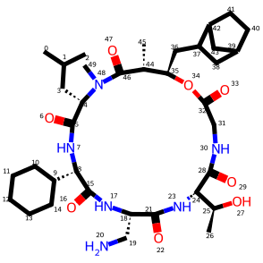 CC(C)C[C@H]1C(=O)N[C@@H](C2CCCCC2)C(=O)N[C@@H](CN)C(=O)N[C@@H]([C@H](C)O)C(=O)NCC(=O)O[C@H](CC2CC3CCC2C3)[C@@H](C)C(=O)N1C